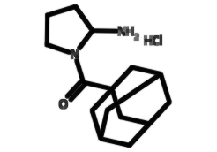 Cl.NC1CCCN1C(=O)C12CC3CC(CC(C3)C1)C2